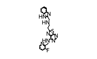 Fc1cccnc1CNc1ncnc2sc(CCNCc3nc4c#cccc4[nH]3)nc12